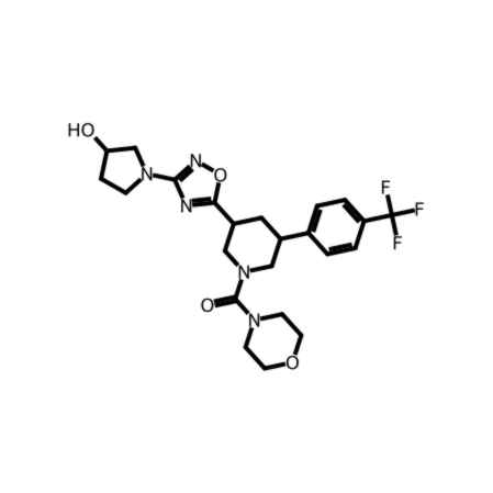 O=C(N1CCOCC1)N1CC(c2ccc(C(F)(F)F)cc2)CC(c2nc(N3CCC(O)C3)no2)C1